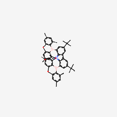 CCn1c2c(B(c3c(C)cc(C)cc3C)c3c(C)cc(C)cc3C)cc(C(C)(C)C)cc2c2cc(C(C)(C)C)cc(B(c3c(C)cc(C)cc3C)c3c(C)cc(C)cc3C)c21